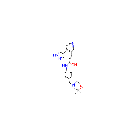 CC1(C)CN(Cc2ccc(NC(O)/C=C/c3cnccc3-c3cn[nH]c3)cc2)CCO1